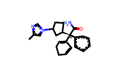 Cc1cn(C2CCC([C@](C(N)=O)(C3=CCCC=C3)c3ccccc3)C2)cn1